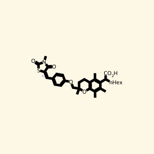 CCCCCCC(C(=O)O)c1c(C)c(C)c2c(c1C)CCC(C)(COc1ccc(/C=C3/SC(=O)N(C)C3=O)cc1)O2